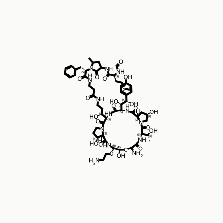 CSCC[C@H](NC=O)C(=O)NC1CC(C)N([C@@H](Cc2ccccc2)C(=O)NCCC(=O)NCC[C@@H](O)[C@@H]2NC(=O)[C@H]([C@H](O)[C@@H](O)c3ccc(O)cc3)NC(=O)[C@@H]3C[C@@H](O)CN3C(=O)[C@H]([C@@H](C)O)NC(=O)C(N)C[C@@H](O)[C@@H](OCCN)NC(=O)[C@@H]3[C@@H](O)CCN3C2=O)C1=O